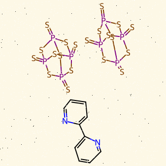 S=P12SP3(=S)SP(=S)(S1)SP(=S)(S2)S3.S=P12SP3(=S)SP(=S)(S1)SP(=S)(S2)S3.c1ccc(-c2ccccn2)nc1